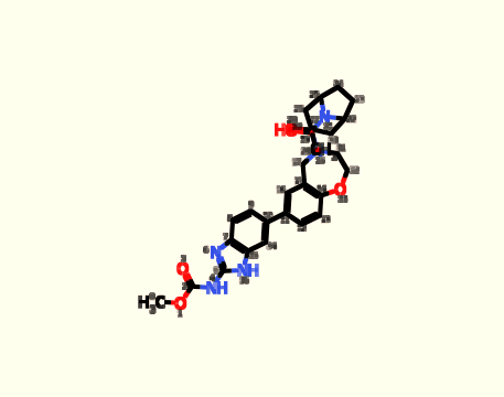 COC(=O)Nc1nc2ccc(-c3ccc4c(c3)CN(C(=O)N3C5CCC3CC(C)(O)C5)CCO4)cc2[nH]1